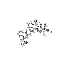 CNC(=O)Nc1ccccc1-c1ccc(CN2C(=O)C(NC(=O)C(C)(C)N)CC(C)c3ccccc32)cc1